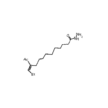 CCC=C(CCCCCCCCCC(=O)NN)C(C)=O